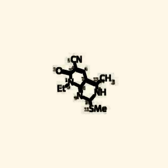 CCn1c(=O)c(C#N)cc2c1=NC(SC)NC=2C